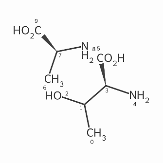 CC(O)[C@H](N)C(=O)O.C[C@H](N)C(=O)O